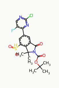 CC(C)(C)OC(=O)N1C(=O)c2cc(-c3nc(Cl)ncc3F)cc([SH](=O)=O)c2C1(C)C